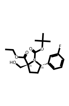 CCOC(=O)[C@@]1(CO)CC[C@@H](c2cccc(F)c2)N1C(=O)OC(C)(C)C